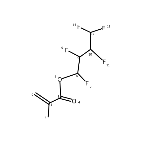 C=C(C)C(=O)OC(F)C(F)C(F)C(F)F